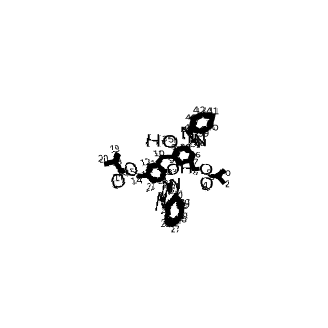 C=C(C)C(=O)OCc1cc(Cc2cc(COC(=O)C(=C)C)cc(-n3nc4ccccc4n3)c2O)c(O)c(-n2nc3ccccc3n2)c1